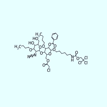 CCCCOC1C(O)C(CO)OC(OC2C(COC(=O)CCl)OC(OCCCCCCNC(=O)OCC(Cl)(Cl)Cl)C(OC(=O)c3ccccc3)C2OCCCC)C1N=[N+]=[N-]